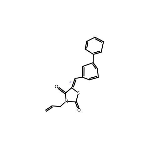 C=CCN1C(=O)S/C(=C\c2cccc(-c3ccccc3)c2)C1=O